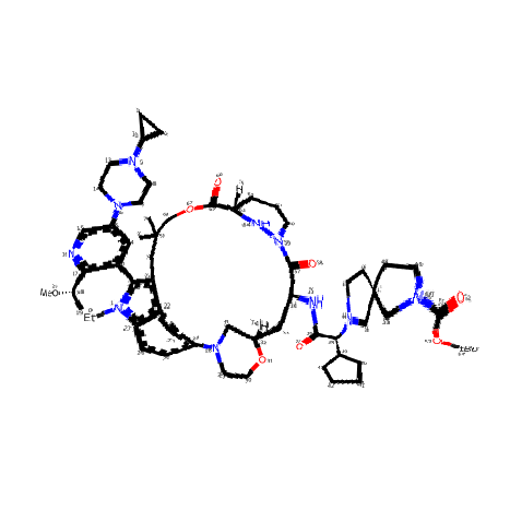 CCn1c(-c2cc(N3CCN(C4CC4)CC3)cnc2[C@H](C)OC)c2c3cc(ccc31)N1CCO[C@@H](C[C@H](NC(=O)[C@H](C3CCCC3)N3CC[C@]4(CCN(C(=O)OC(C)(C)C)C4)C3)C(=O)N3CCC[C@H](N3)C(=O)OCC(C)(C)C2)C1